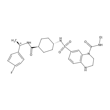 CCNC(=O)N1CCNc2ccc(S(=O)(=O)N[C@H]3CC[C@H](C(=O)N[C@H](C)c4ccc(F)cc4)CC3)cc21